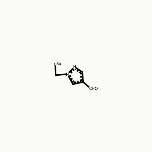 CCCCCn1cc(C=O)cn1